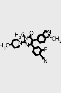 CC1CCN(c2nc(-c3ccc(C#N)c(F)c3)c(-c3ccc4c(cnn4C)c3)c(=O)n2C)CC1